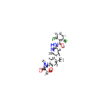 CCc1cc2c(cc1-c1ccc(NC(=O)c3c(F)cccc3F)nc1)N(C)C(=O)CO2